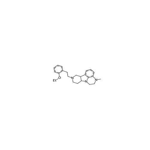 CCOc1ccccc1CCN1CCC2C(C1)c1cccc3c1N2CCN3C